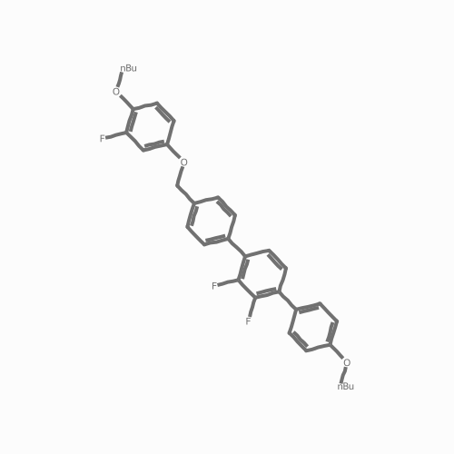 CCCCOc1ccc(-c2ccc(-c3ccc(COc4ccc(OCCCC)c(F)c4)cc3)c(F)c2F)cc1